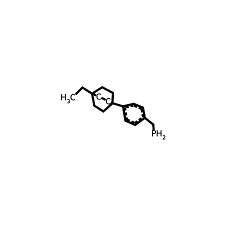 CCC12CCC(c3ccc(CP)cc3)(CC1)CC2